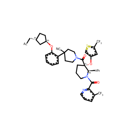 CCC[C@H]1N(C(=O)c2ncccc2C(F)(F)F)CCC[C@@]1(Oc1csc(C(F)(F)F)c1)C(=O)N1CCC(C#N)(c2ccccc2O[C@@H]2CC[C@@H](CC(C)=O)C2)CC1